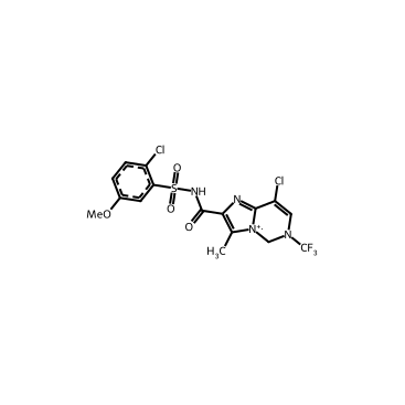 COc1ccc(Cl)c(S(=O)(=O)NC(=O)C2=C(C)[N+]3CN(C(F)(F)F)C=C(Cl)C3=N2)c1